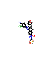 CS(=O)(=O)CCNC(=O)c1ccc2c(c1)CC[C@H]1C2=NN(c2ccc(C#N)c(Cl)c2)[C@H]1C1CCOCC1